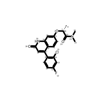 C[C@@H](Oc1ccc2c(-c3ccc(F)cc3Cl)cc(=O)[nH]c2c1)C(=O)N(C)C